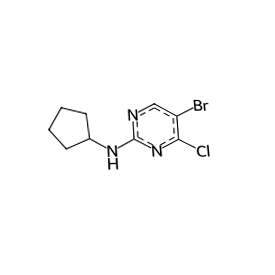 Clc1nc(NC2CCCC2)ncc1Br